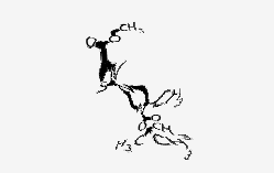 CCOC(=O)c1csc(N2CCN(C(=O)OC(C)(C)C)[C@@H](C)C2)n1